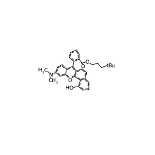 C[N+](C)=c1ccc2c(-c3ccccc3C(=O)OCCCC(C)(C)C)c3ccc4cccc(O)c4c3oc-2c1